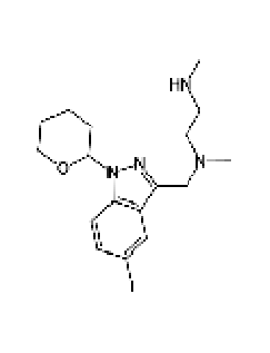 CNCCN(C)Cc1nn(C2CCCCO2)c2ccc(I)cc12